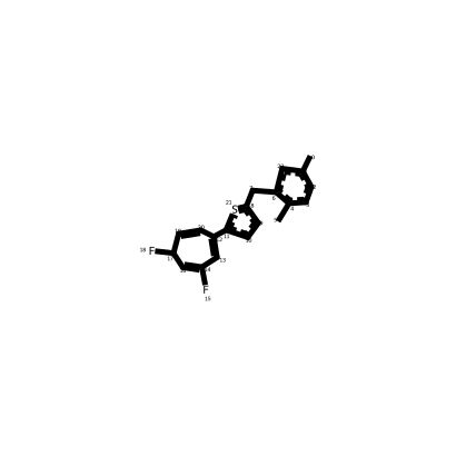 Cc1ccc(C)c(Cc2ccc(C3=CC(F)=CC(F)C=C3)s2)c1